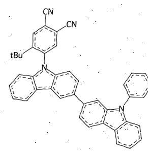 CC(C)(C)c1cc(C#N)c(C#N)cc1-n1c2ccccc2c2cc(-c3ccc4c5ccccc5n(-c5ccccc5)c4c3)ccc21